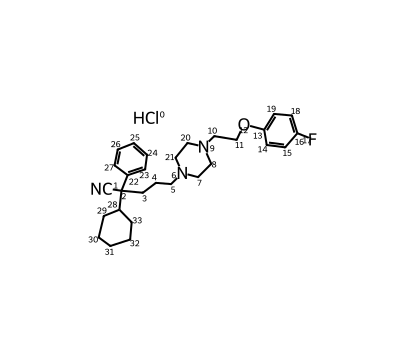 Cl.N#CC(CCCN1CCN(CCOc2ccc(F)cc2)CC1)(c1ccccc1)C1CCCCC1